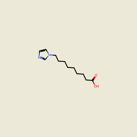 O=C(O)CCCCCCCCn1ccnc1